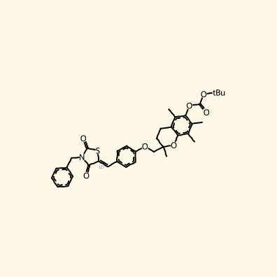 Cc1c(C)c2c(c(C)c1OC(=O)OC(C)(C)C)CCC(C)(COc1ccc(/C=C3\SC(=O)N(Cc4ccccc4)C3=O)cc1)O2